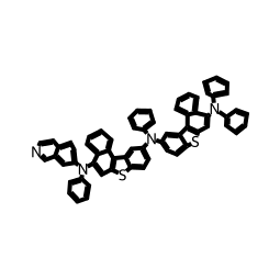 c1ccc(N(c2ccc3sc4cc(N(c5ccccc5)c5ccccc5)c5ccccc5c4c3c2)c2ccc3sc4cc(N(c5ccccc5)c5ccc6ccncc6c5)c5ccccc5c4c3c2)cc1